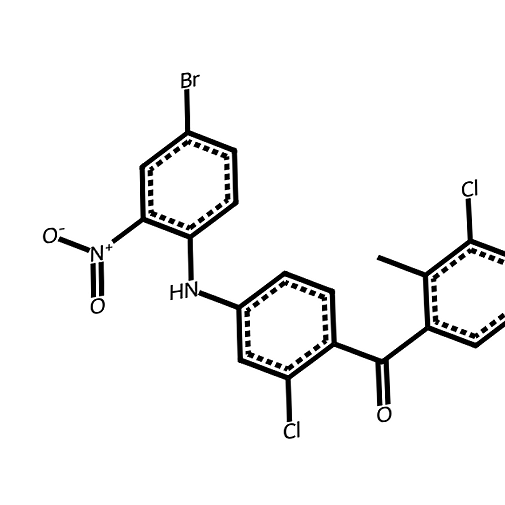 Cc1c(Cl)cccc1C(=O)c1ccc(Nc2ccc(Br)cc2[N+](=O)[O-])cc1Cl